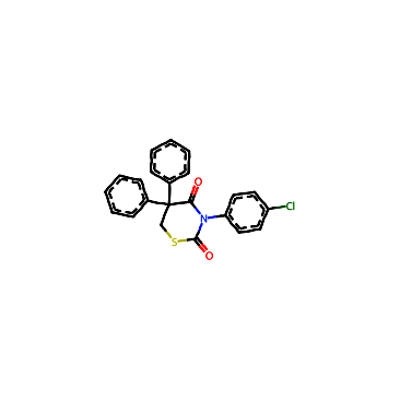 O=C1SCC(c2ccccc2)(c2ccccc2)C(=O)N1c1ccc(Cl)cc1